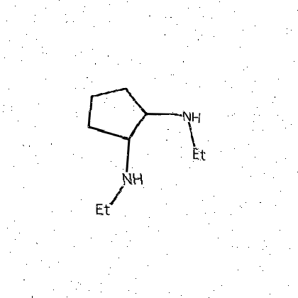 CCNC1CCCC1NCC